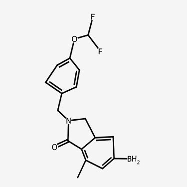 Bc1cc(C)c2c(c1)CN(Cc1ccc(OC(F)F)cc1)C2=O